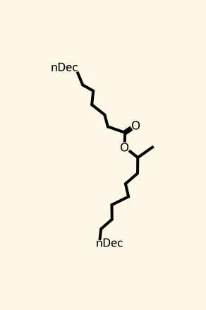 CCCCCCCCCCCCCCCCC(C)OC(=O)CCCCCCCCCCCCCCC